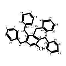 Cc1cc(Cc2ccccc2)c(Cc2ccccc2)c(Cc2ccccc2)c1Cc1ccccc1